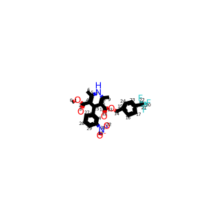 COC(=O)C1=C(C)NC(C)=C(C(=O)OCc2ccc(C(F)(F)F)cc2)C1c1cccc([N+](=O)[O-])c1